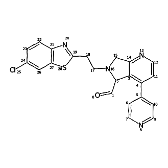 O=CC1c2c(-c3ccncc3)ccnc2CN1CCc1nc2ccc(Cl)cc2s1